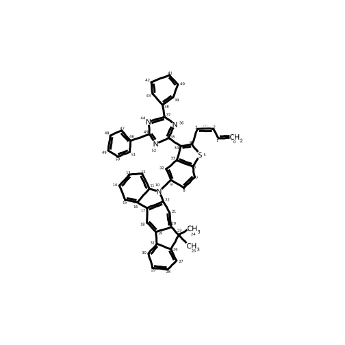 C=C/C=C\c1sc2ccc(-n3c4ccccc4c4cc5c(cc43)C(C)(C)c3ccccc3-5)cc2c1-c1nc(-c2ccccc2)nc(-c2ccccc2)n1